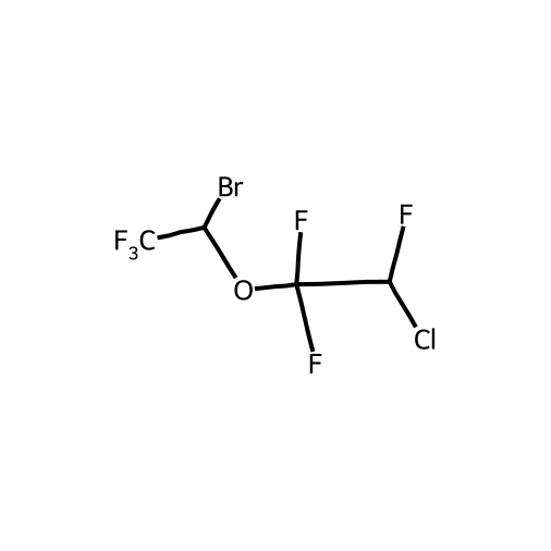 FC(Cl)C(F)(F)OC(Br)C(F)(F)F